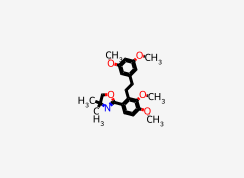 COc1cc(CCc2c(C3=NC(C)(C)CO3)ccc(OC)c2OC)cc(OC)c1